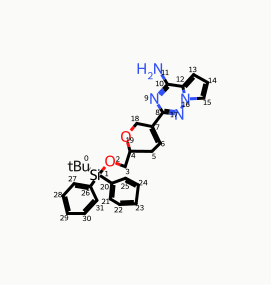 CC(C)(C)[Si](OCC1CC=C(c2nc(N)c3cccn3n2)CO1)(c1ccccc1)c1ccccc1